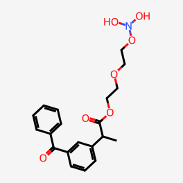 CC(C(=O)OCCOCCON(O)O)c1cccc(C(=O)c2ccccc2)c1